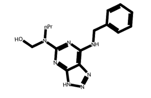 CCCN(CO)c1nc(NCc2ccccc2)c2nn[nH]c2n1